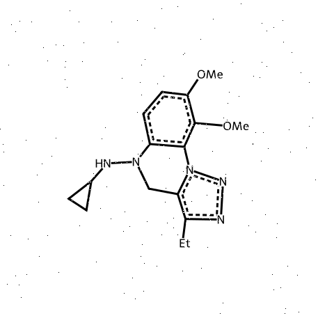 CCc1nnn2c1CN(NC1CC1)c1ccc(OC)c(OC)c1-2